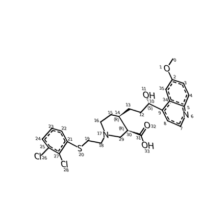 COc1ccc2nccc([C@@H](O)CC[C@@H]3CCN(CCSc4cccc(Cl)c4Cl)C[C@@H]3C(=O)O)c2c1